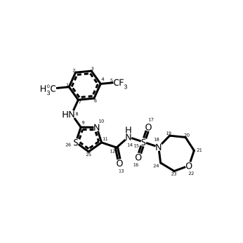 Cc1ccc(C(F)(F)F)cc1Nc1nc(C(=O)NS(=O)(=O)N2CCCOCC2)cs1